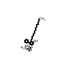 CCCCCCCCCCCCCCCCc1c(S)cc(Sc2nnc(SC)s2)c(O)c1-c1ccccc1